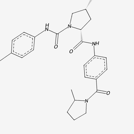 Cc1ccc(NC(=O)N2C[C@H](O)C[C@@H]2C(=O)Nc2ccc(C(=O)N3CCCC3C)cc2)cc1